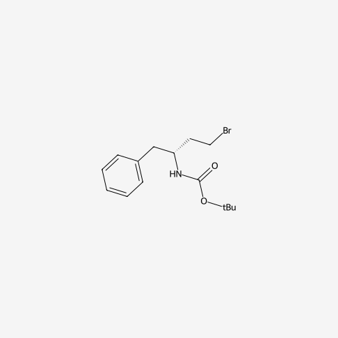 CC(C)(C)OC(=O)N[C@@H](CCBr)Cc1ccccc1